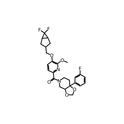 COc1nc(C(=O)N2CCC3(c4cccc(F)c4)OCOC3C2)ccc1OCC1CC2C(C1)C2(F)F